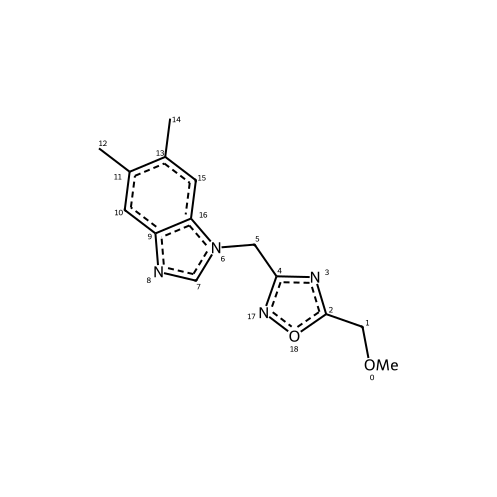 COCc1nc(Cn2cnc3cc(C)c(C)cc32)no1